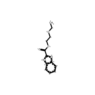 CCOCCOC(=O)c1nc2ccccc2o1